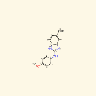 CCOc1ccc(Nc2nc3cc(C=O)ccc3[nH]2)cc1